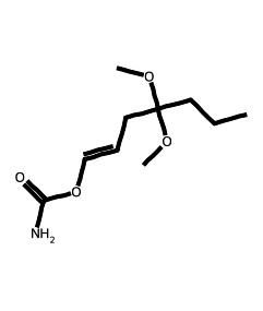 CCCC(CC=COC(N)=O)(OC)OC